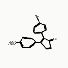 CSc1ccc(C2=C(c3ccc(Br)cc3)C(=O)CC2)cc1